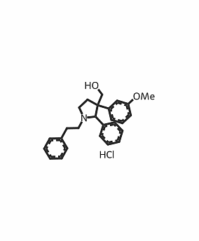 COc1cccc(C2(CO)CCN(CCc3ccccc3)C2c2ccccc2)c1.Cl